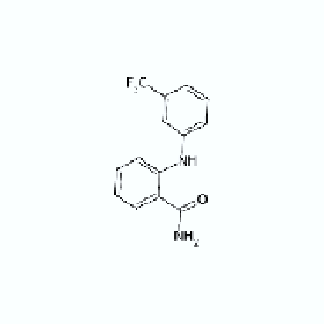 NC(=O)c1ccccc1Nc1cccc(C(F)(F)F)c1